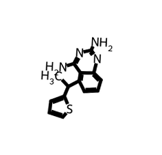 CC(c1cccs1)c1cccc2nc(N)nc(N)c12